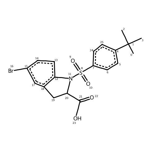 CC(C)(C)c1ccc(S(=O)(=O)N2c3ccc(Br)cc3CC2C(=O)O)cc1